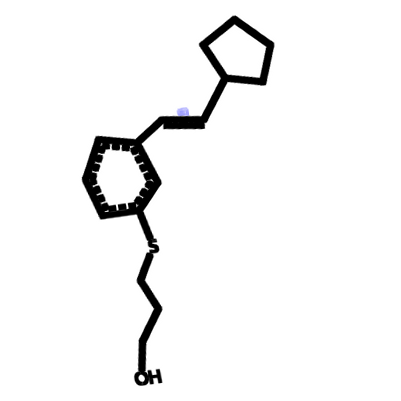 OCCCSc1cccc(/C=C/C2CCCC2)c1